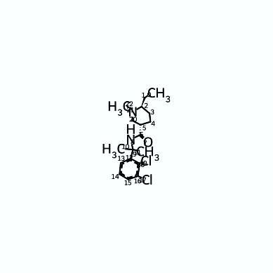 CC[C@H]1CC[C@H](C(=O)NC(C)(C)c2cccc(Cl)c2Cl)CN1C